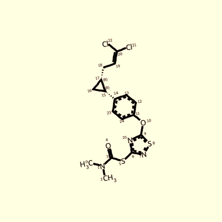 CN(C)C(=O)Sc1nsc(Oc2ccc([C@@H]3C[C@@H]3CC=C(Cl)Cl)cc2)n1